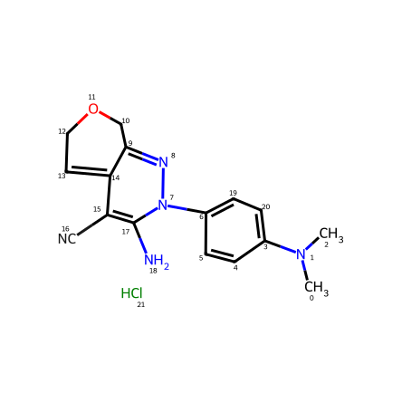 CN(C)c1ccc(N2N=C3COCC=C3C(C#N)=C2N)cc1.Cl